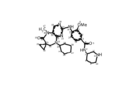 COc1cc(C(=O)N[C@@H]2CCCNC2)ccc1Nc1ncc2c(n1)N(C1CCCCC1)CC1(CC1)C(=O)N2C